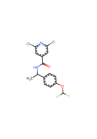 CC(NC(=O)c1cc(Cl)nc(Cl)c1)c1ccc(OC(F)F)cc1